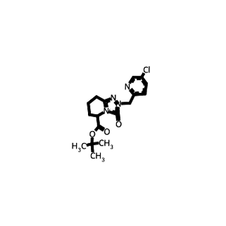 CC(C)(C)OC(=O)C1CCCc2nn(Cc3ccc(Cl)cn3)c(=O)n21